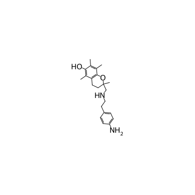 Cc1c(C)c2c(c(C)c1O)CCC(C)(CNCCc1ccc(N)cc1)O2